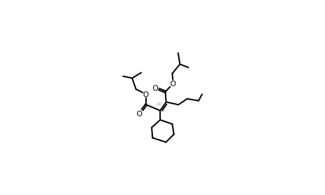 CCCC/C(C(=O)OCC(C)C)=C(/C(=O)OCC(C)C)C1CCCCC1